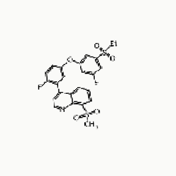 CCS(=O)(=O)c1cc(F)cc(Oc2ccc(F)c(-c3ccnc4c(S(C)(=O)=O)cccc34)c2)c1